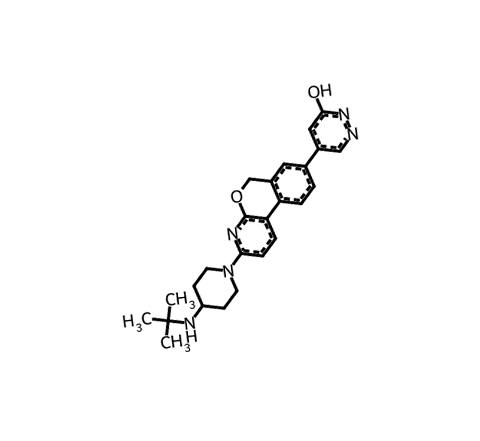 CC(C)(C)NC1CCN(c2ccc3c(n2)OCc2cc(-c4cnnc(O)c4)ccc2-3)CC1